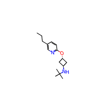 CCCc1ccc(O[C@H]2C[C@H](NC(C)(C)C)C2)nc1